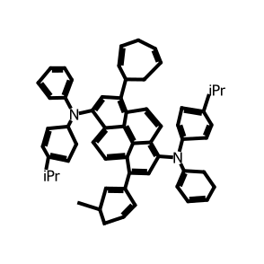 CC1C=C(c2cc(N(C3=CC=CCC3)c3ccc(C(C)C)cc3)c3ccc4c(C5C=CCC=CC5)cc(N(c5ccccc5)C5C=CC(C(C)C)=CC5)c5ccc2c3c45)C=CC1